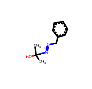 CC(C)(O)/N=N/Cc1ccccc1